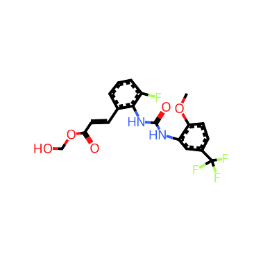 COc1ccc(C(F)(F)F)cc1NC(=O)Nc1c(F)cccc1/C=C/C(=O)OCO